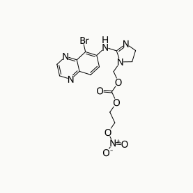 O=C(OCCO[N+](=O)[O-])OCN1CCN=C1Nc1ccc2nccnc2c1Br